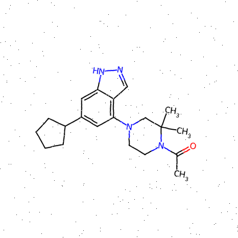 CC(=O)N1CCN(c2cc(C3CCCC3)cc3[nH]ncc23)CC1(C)C